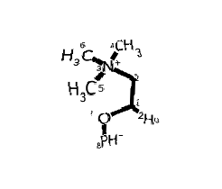 [2H]C(C[N+](C)(C)C)O[PH-]